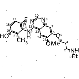 CCNCCCOc1cc2ncnc(Nc3c(F)ccc(O)c3C)c2cc1OC